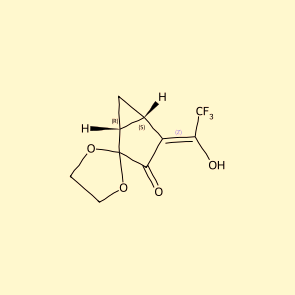 O=C1/C(=C(\O)C(F)(F)F)[C@H]2C[C@H]2C12OCCO2